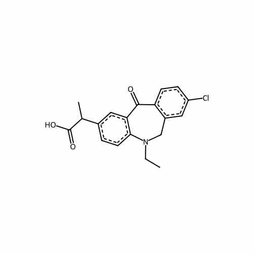 CCN1Cc2cc(Cl)ccc2C(=O)c2cc(C(C)C(=O)O)ccc21